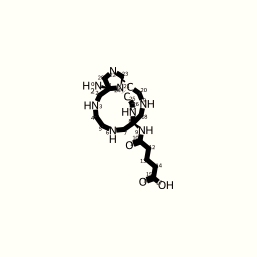 N[C@]12CNCCNC[C@@]3(NC(=O)CCCC(=O)O)CNCC[N@](C[N@@]1CCN3)C2